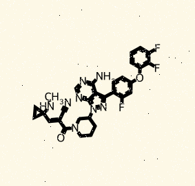 CNC1(C=C(C#N)C(=O)N2CCCC(n3nc(-c4ccc(Oc5cccc(F)c5F)cc4F)c4c(N)ncnc43)C2)CC1